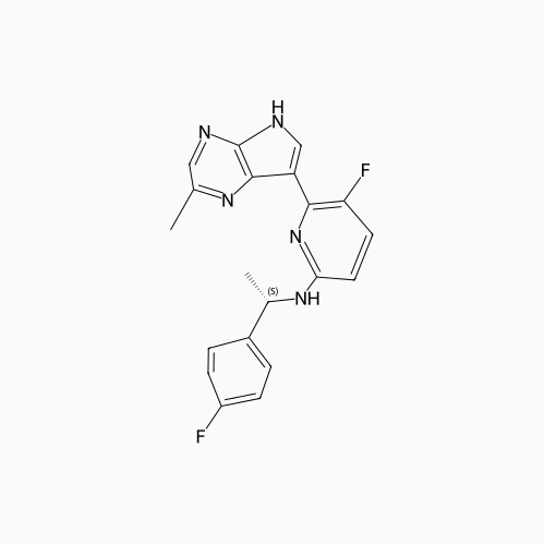 Cc1cnc2[nH]cc(-c3nc(N[C@@H](C)c4ccc(F)cc4)ccc3F)c2n1